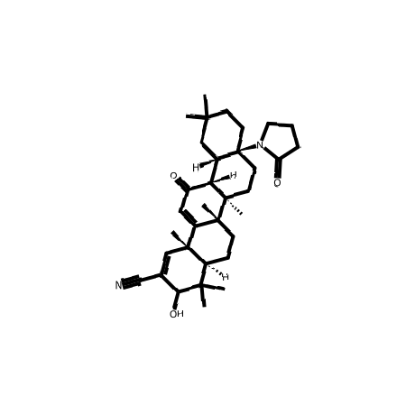 CC1(C)CC[C@]2(N3CCCC3=O)CC[C@]3(C)[C@H](C(=O)C=C4[C@@]5(C)C=C(C#N)C(O)C(C)(C)[C@@H]5CC[C@]43C)[C@@H]2C1